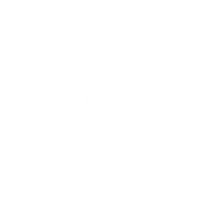 COc1ccc(C23Cn4c(cc5ncccc54)C(=O)N2CCN3C(=O)c2conc2C)cc1